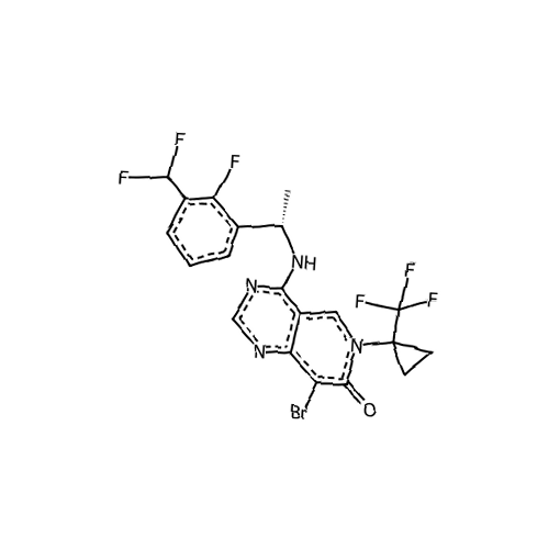 C[C@H](Nc1ncnc2c(Br)c(=O)n(C3(C(F)(F)F)CC3)cc12)c1cccc(C(F)F)c1F